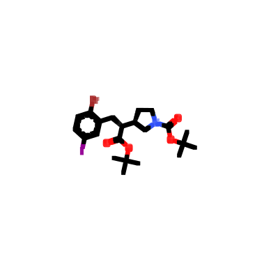 CC(C)(C)OC(=O)[C@@H](Cc1cc(I)ccc1Br)[C@H]1CCN(C(=O)OC(C)(C)C)C1